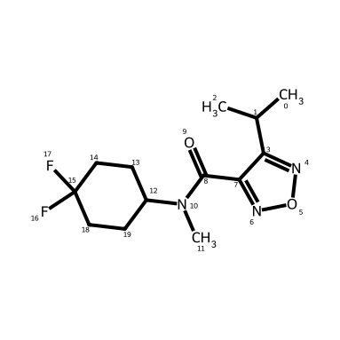 CC(C)c1nonc1C(=O)N(C)C1CCC(F)(F)CC1